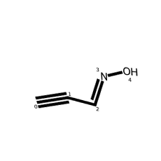 C#CC=NO